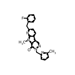 Cc1cccc(Cn2ncc3c4ccc(Cc5ccccc5F)nc4n(C)c3c2=O)n1